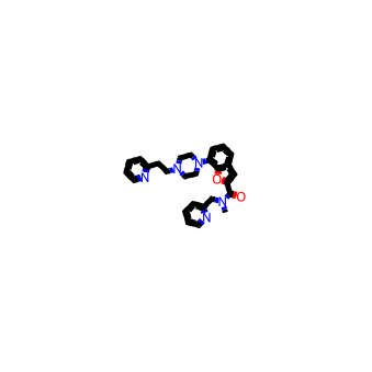 CN(Cc1ccccn1)C(=O)c1cc2cccc(N3CCN(CCc4ccccn4)CC3)c2o1